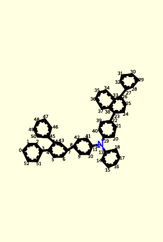 c1ccc(-c2ccc(-c3ccc(N(c4ccccc4)c4ccc(-c5ccc(-c6ccccc6)c6ccccc56)cc4)cc3)cc2-c2ccccc2)cc1